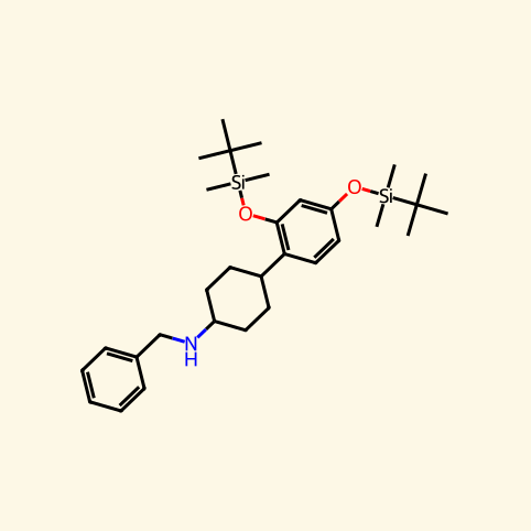 CC(C)(C)[Si](C)(C)Oc1ccc(C2CCC(NCc3ccccc3)CC2)c(O[Si](C)(C)C(C)(C)C)c1